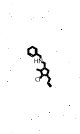 C=CCC1CC(CNCC2=CCCC=C2)C(C)C1Cl